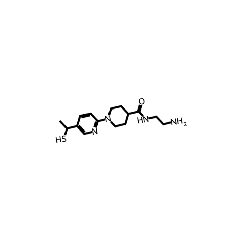 CC(S)c1ccc(N2CCC(C(=O)NCCN)CC2)nc1